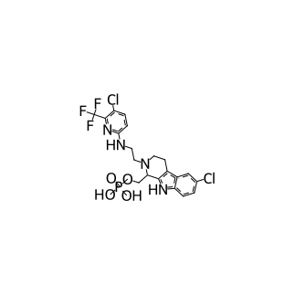 O=P(O)(O)OCC1c2[nH]c3ccc(Cl)cc3c2CCN1CCNc1ccc(Cl)c(C(F)(F)F)n1